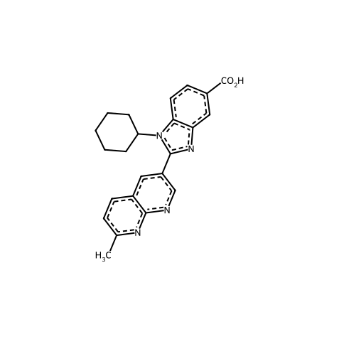 Cc1ccc2cc(-c3nc4cc(C(=O)O)ccc4n3C3CCCCC3)cnc2n1